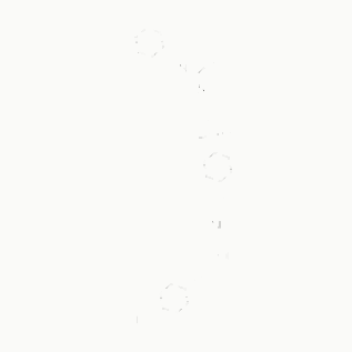 O=C(NCc1ccc(F)cc1)N1CCC(S(=O)(=O)c2ccc(CCNCC(O)COc3ccc(O)cc3)cc2)CC1